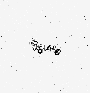 O=C1CCC(N2C(=O)c3cccc(NCc4csc(C(=O)OC56CC7CC(CC(C7)C5)C6)n4)c3C2=O)C(=O)N1